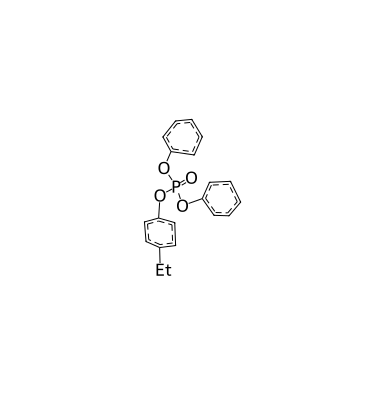 CCc1ccc(OP(=O)(Oc2ccccc2)Oc2ccccc2)cc1